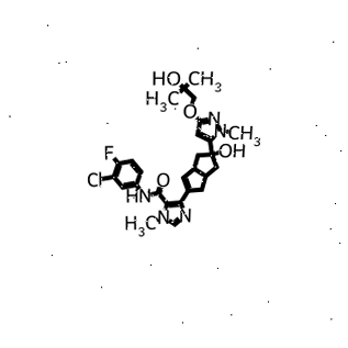 Cn1cnc(C2=CC3CC(O)(c4cc(OCC(C)(C)O)nn4C)CC3C2)c1C(=O)Nc1ccc(F)c(Cl)c1